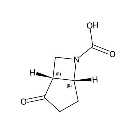 O=C1CC[C@@H]2[C@H]1CN2C(=O)O